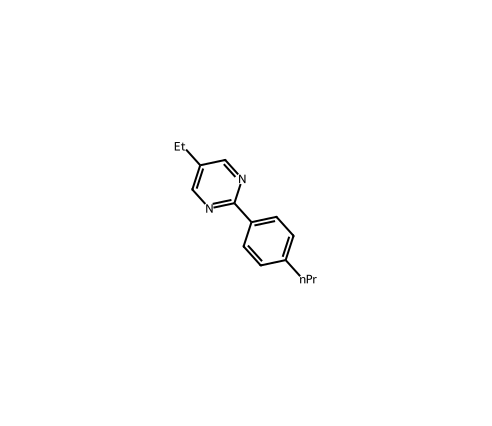 CCCc1ccc(-c2ncc(CC)cn2)cc1